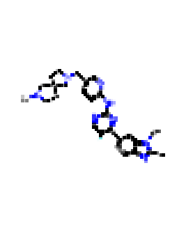 CCN1CCC2(CCN(Cc3ccc(Nc4ncc(F)c(-c5ccc6nc(C)n(C(C)C)c6c5)n4)nc3)C2)C1